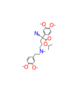 COc1ccc(CCN(C)CCCC(C#N)(C(=O)OC(C)C)c2ccc(OC)c(OC)c2)cc1OC